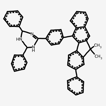 CC1(C)c2cc(-c3ccccc3)ccc2-c2c1cc1ccccc1c2-c1ccc(C2=NC(c3ccccc3)NC(c3ccccc3)N2)cc1